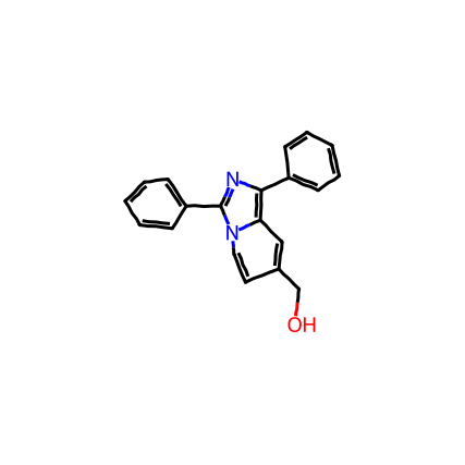 OCc1ccn2c(-c3ccccc3)nc(-c3ccccc3)c2c1